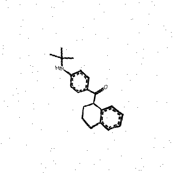 CC(C)(C)Nc1ccc(C(=O)C2CCCc3ccccc32)cc1